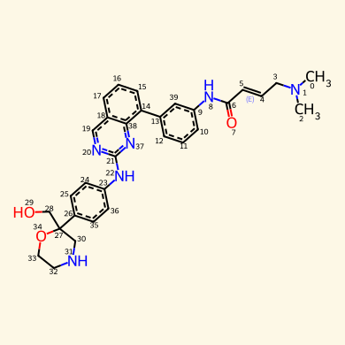 CN(C)C/C=C/C(=O)Nc1cccc(-c2cccc3cnc(Nc4ccc(C5(CO)CNCCO5)cc4)nc23)c1